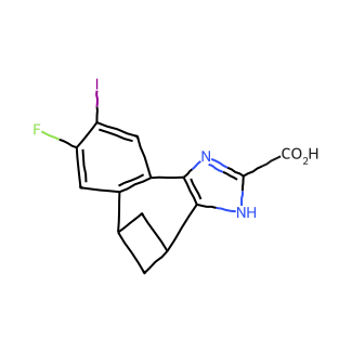 O=C(O)c1nc2c([nH]1)C1CC(C1)c1cc(F)c(I)cc1-2